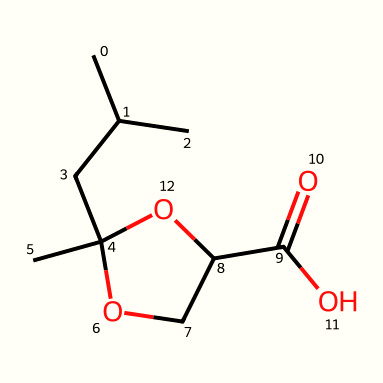 CC(C)CC1(C)OCC(C(=O)O)O1